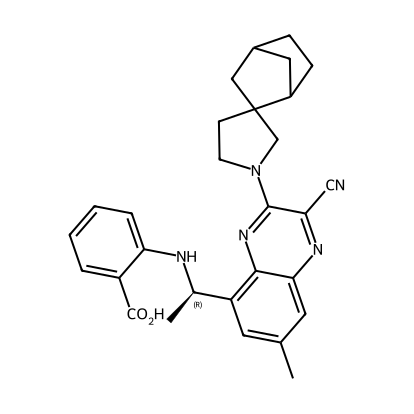 Cc1cc([C@@H](C)Nc2ccccc2C(=O)O)c2nc(N3CCC4(CC5CCC4C5)C3)c(C#N)nc2c1